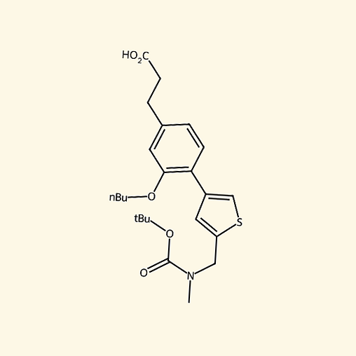 CCCCOc1cc(CCC(=O)O)ccc1-c1csc(CN(C)C(=O)OC(C)(C)C)c1